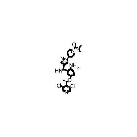 C[C@@H](Oc1ccc(N)c(C(=N)c2cnn(C3CCN(C(=O)N(C)C)CC3)c2)c1)c1c(Cl)cncc1Cl